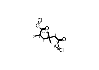 CC(CC(C)(C)CC(=O)OCl)C(=O)OCl